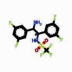 NC(c1cc(F)cc(F)c1)[C@H](NS(=O)(=O)C(F)(F)F)c1cc(F)cc(F)c1